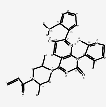 C=CC(=O)N1CC(C)N(c2nc(=O)n(-c3c(C)ccnc3C(C)C)c3nc(-c4ccccc4N(C)C)c(Cl)cc23)CC1C